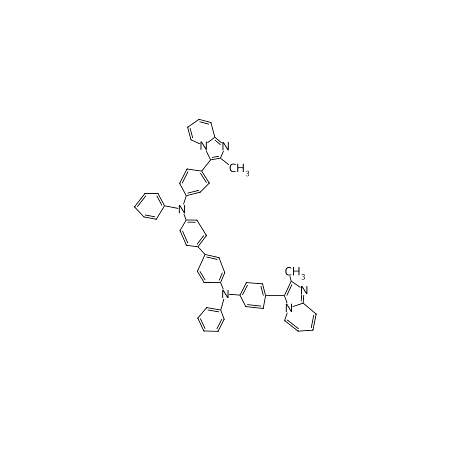 Cc1nc2ccccn2c1-c1ccc(N(c2ccccc2)c2ccc(-c3ccc(N(c4ccccc4)c4ccc(-c5c(C)nc6ccccn56)cc4)cc3)cc2)cc1